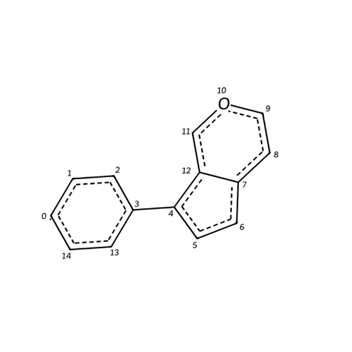 [c]1ccc(-c2ccc3ccocc2-3)cc1